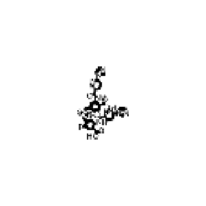 O=C(Nc1cc(CS(=O)(=O)Cc2cc(NC(=O)c3ccc(-n4ccnc4)nn3)c(C(=O)O)cc2F)c(F)cc1C(=O)O)c1ccc(-n2ccnc2)nn1